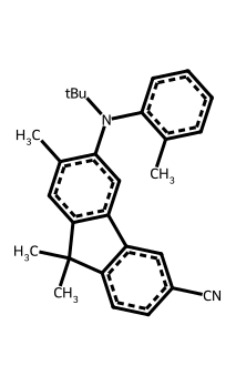 Cc1ccccc1N(c1cc2c(cc1C)C(C)(C)c1ccc(C#N)cc1-2)C(C)(C)C